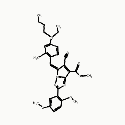 CCCCN(CC)c1ccc(/C=c2\c(C#N)c(C(=O)OC)c3nc(-c4cc(OC)ccc4OC)nn23)c(C)c1